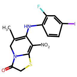 CC1=C(Nc2ccc(I)cc2F)C([N+](=O)[O-])=C2SCC(=O)N2C1